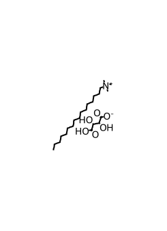 CCCCCCCCCCCCCCCC[N+](C)(C)C.O=C([O-])C(O)C(O)C(=O)O